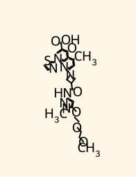 COCCOCCOc1cc(NC(=O)C2CN(c3cc(C)c4c(=O)c(C(=O)O)cn(-c5nccs5)c4n3)C2)nn1C